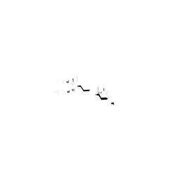 COC(=CC(=O)OCCC[SiH](OC)OC)OC